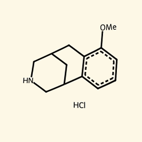 COc1cccc2c1CC1CNCC2C1.Cl